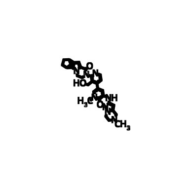 CN1CCn2nc(Nc3cc(-c4ccnc(N5CCn6c(cc7c6C6CCC7C6)C5=O)c4CO)cn(C)c3=O)cc2C1